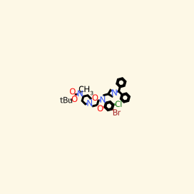 CN(C(=O)OC(C)(C)C)C1CCN(CC2Oc3cc(Br)c(Cl)cc3N(CC3CN(C(c4ccccc4)c4ccccc4)C3)C2=O)CC1